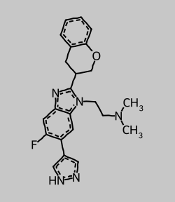 CN(C)CCn1c(C2COc3ccccc3C2)nc2cc(F)c(-c3cn[nH]c3)cc21